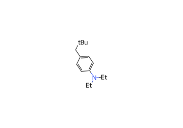 CCN(CC)c1ccc(CC(C)(C)C)cc1